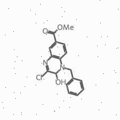 COC(=O)c1ccc2c(c1)N=C(Cl)C(O)N2Cc1ccccc1